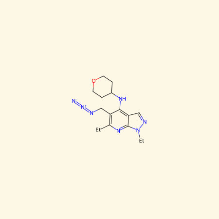 CCc1nc2c(cnn2CC)c(NC2CCOCC2)c1CN=[N+]=[N-]